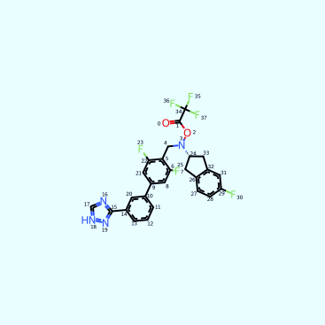 O=C(ON(Cc1c(F)cc(-c2cccc(-c3nc[nH]n3)c2)cc1F)[C@H]1Cc2ccc(F)cc2C1)C(F)(F)F